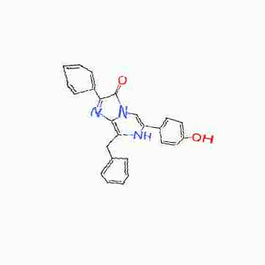 O=c1c(-c2ccccc2)nc2c(Cc3ccccc3)[nH]c(-c3ccc(O)cc3)cn1-2